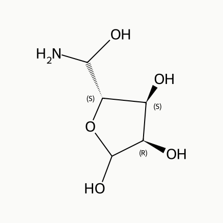 NC(O)[C@H]1OC(O)[C@H](O)[C@@H]1O